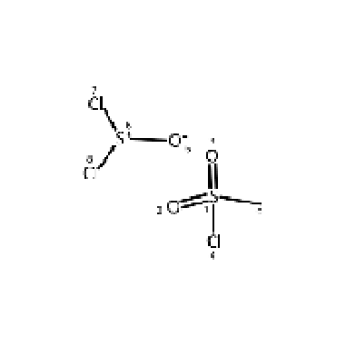 CS(=O)(=O)Cl.[O-][S+](Cl)Cl